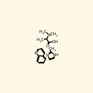 CC(C(=O)O)N(C)C.Cc1ncc[nH]1.c1ccc2ncccc2c1